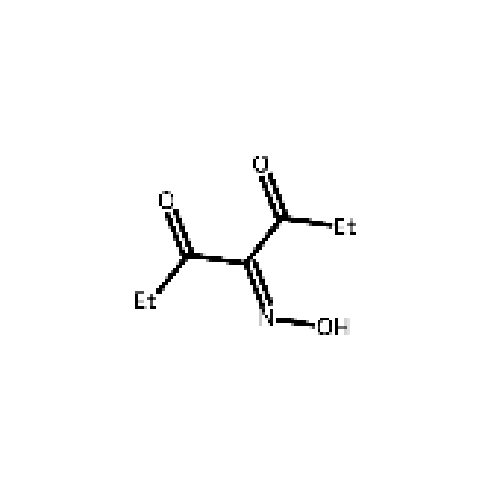 CCC(=O)C(=NO)C(=O)CC